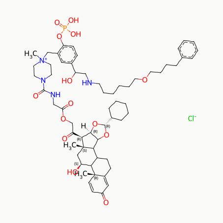 C[C@]12C=CC(=O)C=C1CCC1C2[C@@H](O)C[C@@]2(C)C1C1O[C@@H](C3CCCCC3)O[C@@H]1[C@@H]2C(=O)COC(=O)CNC(=O)N1CC[N+](C)(Cc2cc(C(O)CNCCCCCCOCCCCc3ccccc3)ccc2OP(=O)(O)O)CC1.[Cl-]